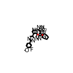 COc1ccc(-c2ncc(-c3cnn4c(N)c(S(C)(=O)=O)c(C5CC6CCC(C5)N6C(=O)c5nnc[nH]5)nc34)cn2)cc1F